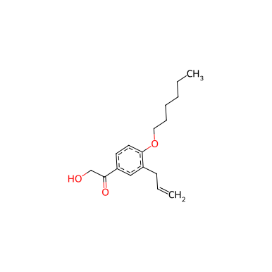 C=CCc1cc(C(=O)CO)ccc1OCCCCCC